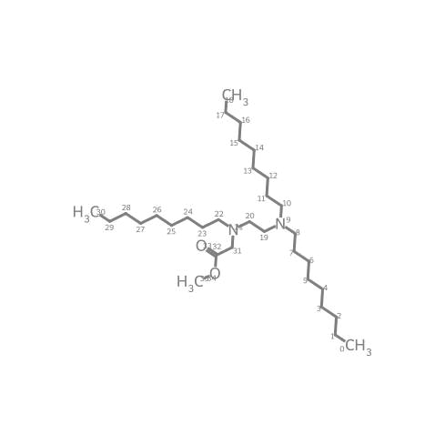 CCCCCCCCCN(CCCCCCCCC)CCN(CCCCCCCCC)CC(=O)OC